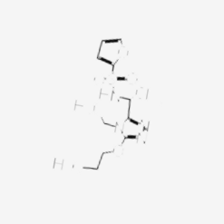 CCCOc1nnc([C@H](C)NS(=O)(=O)c2ccco2)n1CC